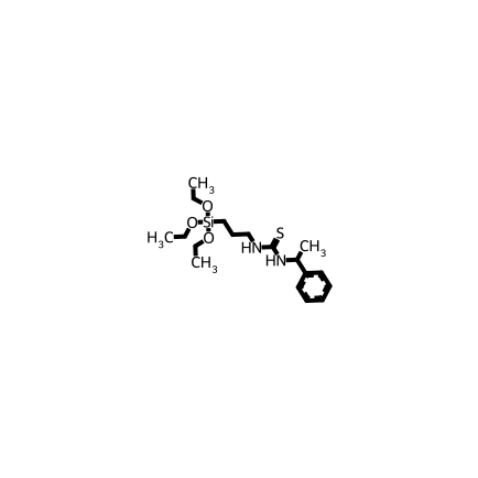 CCO[Si](CCCNC(=S)NC(C)c1ccccc1)(OCC)OCC